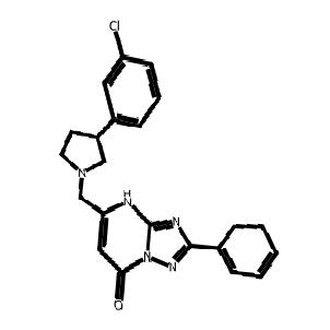 O=c1cc(CN2CCC(c3cccc(Cl)c3)C2)[nH]c2nc(C3=CC=CCC3)nn12